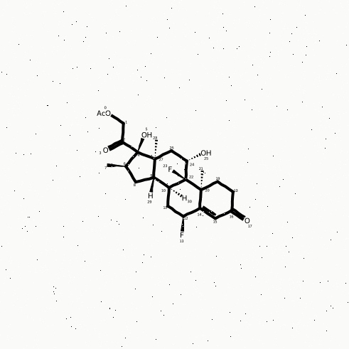 CC(=O)OCC(=O)[C@@]1(O)[C@H](C)C[C@H]2[C@@H]3C[C@H](F)C4=CC(=O)CC[C@]4(C)[C@@]3(F)[C@@H](O)C[C@@]21C